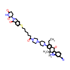 CCc1cc2c(cc1N1CCC(N3CCN(C(=O)CCCCCCSc4ccc5c(c4)CN(C4CCC(=O)NC4=O)C5=O)CC3)CC1)C(C)(C)c1[nH]c3cc(C#N)ccc3c1C2=O